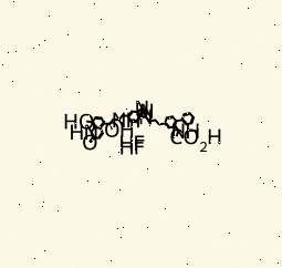 F.F.O=C(O)Nc1cc(CCCn2nnc3cc(CNC[C@@H](O)c4ccc(O)c5[nH]c(=O)ccc45)ccc32)ccc1-c1ccccc1